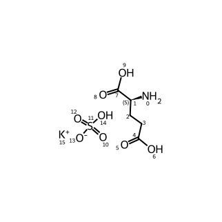 N[C@@H](CCC(=O)O)C(=O)O.O=S(=O)([O-])O.[K+]